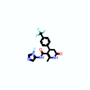 CC1=C(C(=O)Nc2cncn2F)C(c2ccc(C(F)(F)F)cc2)CC(=O)N1